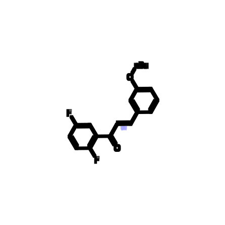 CCCCOc1cccc(/C=C/C(=O)c2cc(F)ccc2F)c1